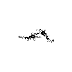 COc1c(OCCCOc2c(OC)c(Cl)c3sc(C(=O)C[C@H](C)C(=O)O)cc3c2Cl)cc2c(c1F)CN(C(=O)C[C@H](C)C(=O)O)C2